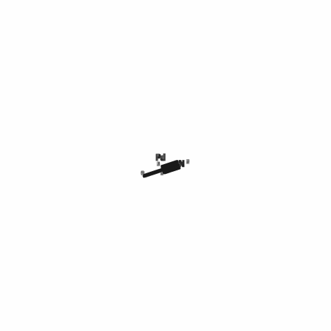 CC#N.[Pd]